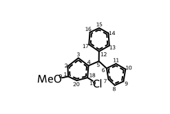 COc1ccc(C(c2ccccc2)c2ccccc2)c(Cl)c1